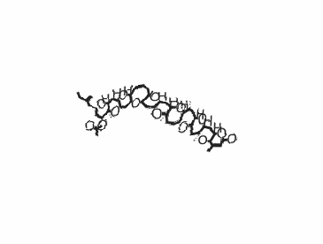 C=C(CC)C[C@@H]1C[C@H](OC(C)=O)[C@]2(C)OC3CC4OC5C[C@]6(C)O[C@]7(C)CCC8OC9C[C@]%10(C)OC%11C(C)=CC(=O)O[C@H]%11C[C@H]%10O[C@H]9C[C@@H](C)[C@H]8O[C@H]7C[C@H]6O[C@@]5(C)C/C=C\[C@H]4O[C@H]3C[C@H]2O1